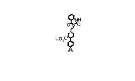 CN(C)c1ccc(C2CCN(CCn3c(=O)[nH]c4ccccc4c3=O)CC2C(=O)O)cc1